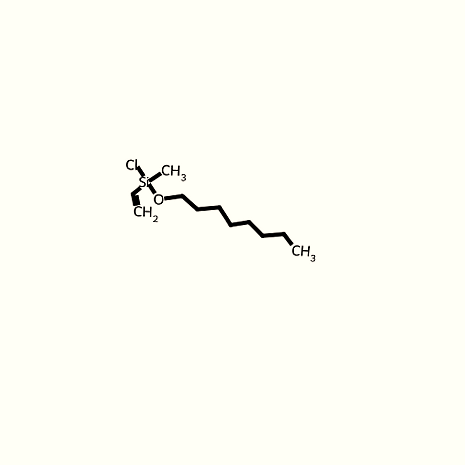 C=C[Si](C)(Cl)OCCCCCCCC